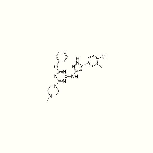 Cc1cc(-c2cc(Nc3nc(Oc4ccccc4)nc(N4CCN(C)CC4)n3)n[nH]2)ccc1Cl